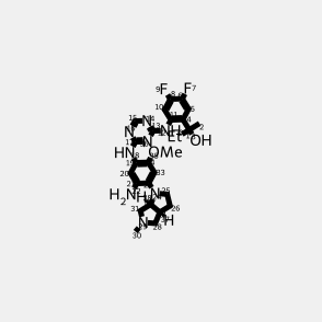 CCC(C)(O)c1cc(F)c(F)cc1Nc1ncnc(Nc2cc(N)c(N3CC[C@@H]4CN(C)C[C@@H]43)cc2OC)n1